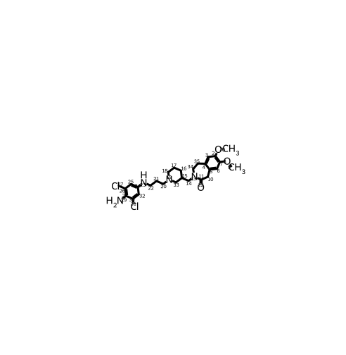 COc1cc2c(cc1OC)CC(=O)N(CC1CCCN(CCCNc3cc(Cl)c(N)c(Cl)c3)C1)CC2